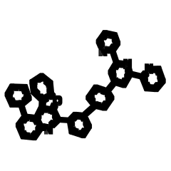 c1ccc(-c2cccc3nc(-c4cccc(-c5ccc(-c6cc(-c7ccccn7)nc(-c7ccccn7)c6)cc5)c4)c4oc5ccccc5c4c23)cc1